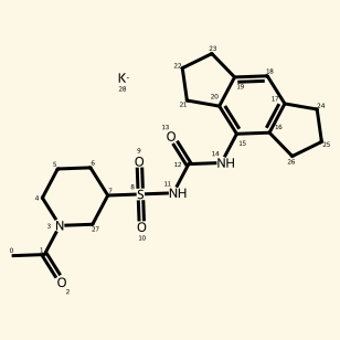 CC(=O)N1CCCC(S(=O)(=O)NC(=O)Nc2c3c(cc4c2CCC4)CCC3)C1.[K]